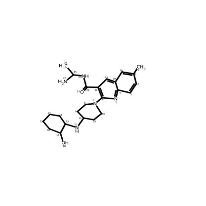 Cc1ccc2nc(N3CCC(NC4CCCCC4O)CC3)c(C(=O)NC(C)N)cc2c1